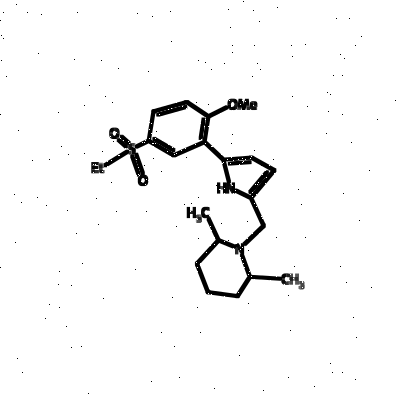 CCS(=O)(=O)c1ccc(OC)c(-c2ccc(CN3C(C)CCCC3C)[nH]2)c1